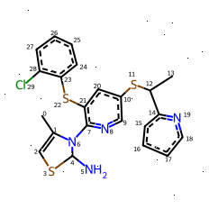 CC1=CSC(N)N1c1ncc(SC(C)c2ccccn2)cc1Sc1ccccc1Cl